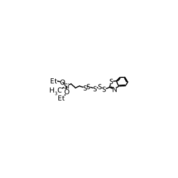 CCO[Si](C)(CCCSSSSSc1nc2ccccc2s1)OCC